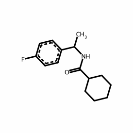 CC(NC(=O)C1CCCCC1)c1ccc(F)cc1